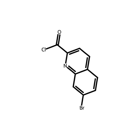 O=C(Cl)c1ccc2ccc(Br)cc2n1